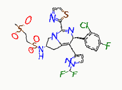 CS(=O)(=O)CCS(=O)(=O)N[C@H]1CC2=C(c3ccn(C(F)F)n3)[C@H](c3ccc(F)cc3Cl)N=C(c3nccs3)N2C1